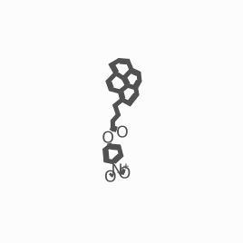 O=C(CCCc1ccc2ccc3cccc4ccc1c2c34)Oc1ccc([N+](=O)[O-])cc1